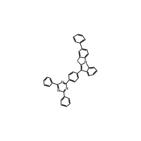 c1ccc(-c2ccc3c(c2)sc2c(-c4ccc(-c5nc(-c6ccccc6)nc(-c6ccccc6)n5)cc4)c4ccccc4n23)cc1